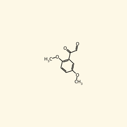 COc1ccc(OC)c(C(=O)C=O)c1